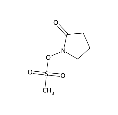 CS(=O)(=O)ON1CCCC1=O